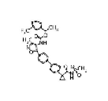 Cc1noc(-c2ccc(-c3ccc(C4(C(=O)NS(C)(=O)=O)CC4)cc3)cc2)c1NC(=O)O[C@H](C)c1cccc(C(F)(F)F)c1